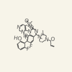 C=CC(=O)N1CCN(c2nc(=O)n(C3=C(S(C)(=O)=O)C=NCN3C(C)C)c3nc(-c4c(O)cccc4F)c(F)cc23)[C@@H](C)C1